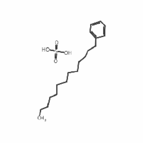 CCCCCCCCCCCCCc1ccccc1.O=S(=O)(O)O